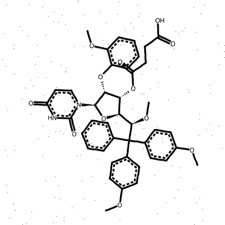 COc1ccc(C(c2ccccc2)(c2ccc(OC)cc2)[C@H](OC)[C@H]2O[C@@H](n3ccc(=O)[nH]c3=O)[C@H](Oc3ccccc3OC)[C@@H]2OC(=O)CCC(=O)O)cc1